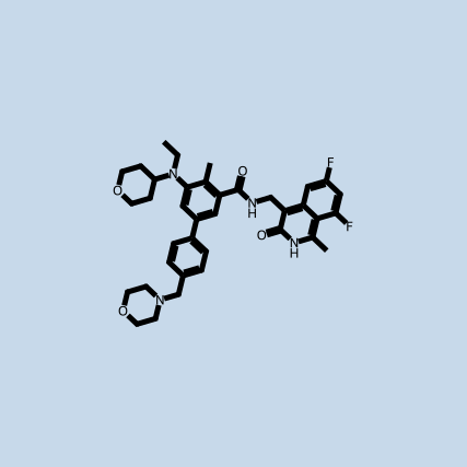 CCN(c1cc(-c2ccc(CN3CCOCC3)cc2)cc(C(=O)NCc2c(=O)[nH]c(C)c3c(F)cc(F)cc23)c1C)C1CCOCC1